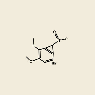 Br.COc1ccc2c(c1OC)C2[N+](=O)[O-]